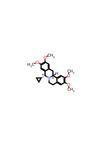 COc1cc2c(cc1OC)[C@H]1Cc3cc(OC)c(OC)cc3[C@@H](C3CC3)N1CC2